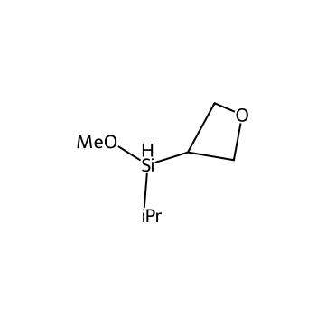 CO[SiH](C(C)C)C1COC1